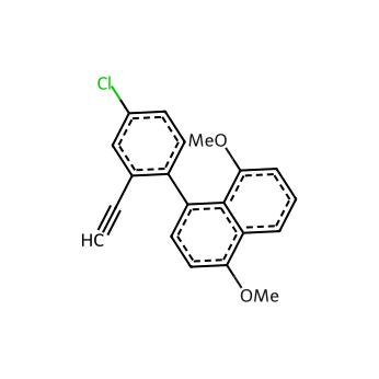 C#Cc1cc(Cl)ccc1-c1ccc(OC)c2cccc(OC)c12